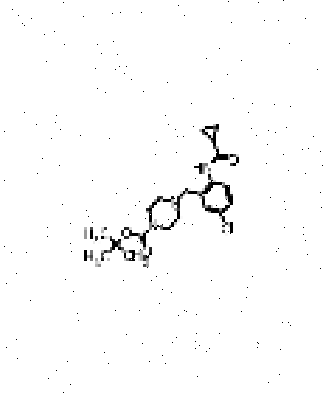 CC(C)(C)OC(=O)N1CCN(Cc2cc(Cl)ccc2NC(=O)C2CC2)CC1